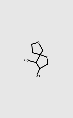 OC1COC2(CCOC2)C1O